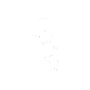 O=C1N=C(NC2CN3CCC2CC3)SC12CCCC2